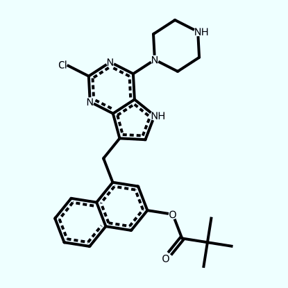 CC(C)(C)C(=O)Oc1cc(Cc2c[nH]c3c(N4CCNCC4)nc(Cl)nc23)c2ccccc2c1